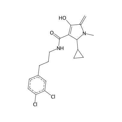 C=C1C(O)=C(C(=O)NCCCc2ccc(Cl)c(Cl)c2)C(C2CC2)N1C